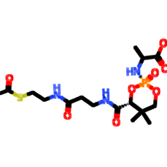 CC(=O)SCCNC(=O)CCNC(=O)[C@@H]1O[P@](=O)(NC(C)C(=O)O)OCC1(C)C